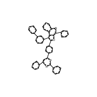 c1ccc(-c2cccc(-c3c(-c4ccc(-c5cc(-c6ccccc6)nc(-c6ccccc6)n5)cc4)oc4c(-c5ccccc5)nc5ccccc5c34)c2)cc1